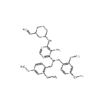 C=CC1CCCC(Nc2ncnc(N(Cc3ccc(OC)cc3OC)Cc3ccc(OC)cc3OC)c2N)C1